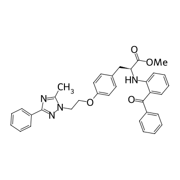 COC(=O)[C@H](Cc1ccc(OCCn2nc(-c3ccccc3)nc2C)cc1)Nc1ccccc1C(=O)c1ccccc1